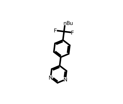 CCCCC(F)(F)c1ccc(-c2cncnc2)cc1